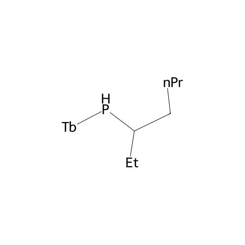 CCCCC(CC)[PH][Tb]